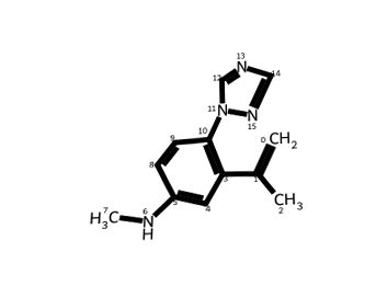 C=C(C)c1cc(NC)ccc1-n1cncn1